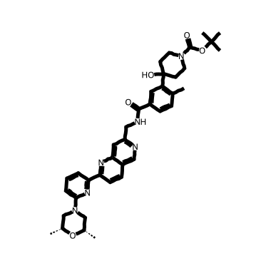 Cc1ccc(C(=O)NCc2cc3nc(-c4cccc(N5C[C@@H](C)O[C@@H](C)C5)n4)ccc3cn2)cc1C1(O)CCN(C(=O)OC(C)(C)C)CC1